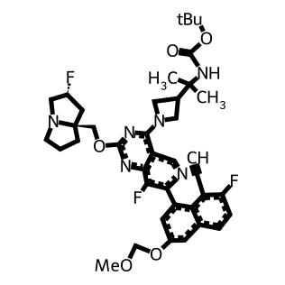 C#Cc1c(F)ccc2cc(OCOC)cc(-c3ncc4c(N5CC(C(C)(C)NC(=O)OC(C)(C)C)C5)nc(OC[C@@]56CCCN5C[C@H](F)C6)nc4c3F)c12